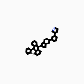 Cc1ccccc1-c1c2ccccc2c(-c2ccc3c(c2)CCC(c2cccc(-c4cccnc4)c2)=C3)c2ccccc12